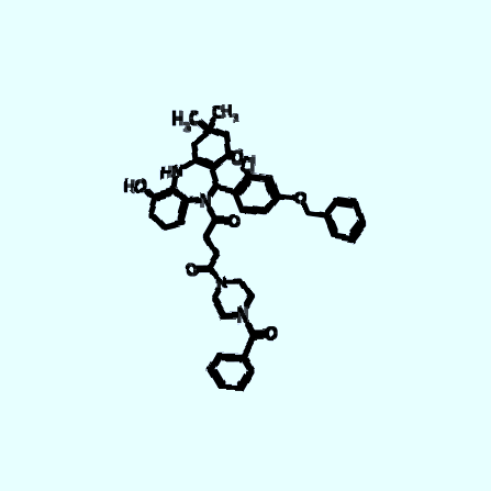 CC1(C)CC(=O)C2=C(C1)NC1=C(O)CCC=C1N(C(=O)CCC(=O)N1CCN(C(=O)c3ccccc3)CC1)C2c1ccc(OCc2ccccc2)cc1Cl